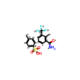 Cc1c(C(N)=O)cccc1C(F)(F)F.Cc1ccc(S(=O)(=O)O)cc1